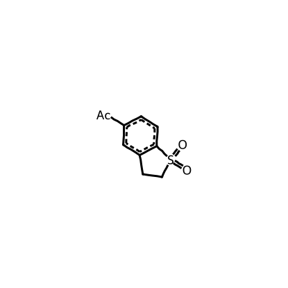 CC(=O)c1ccc2c(c1)CCS2(=O)=O